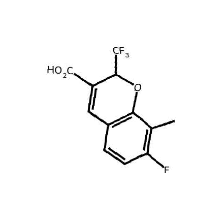 Cc1c(F)ccc2c1OC(C(F)(F)F)C(C(=O)O)=C2